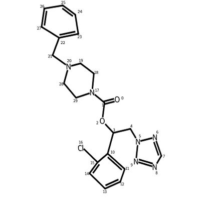 O=C(OC(Cn1ncnn1)c1ccccc1Cl)N1CCN(Cc2ccccc2)CC1